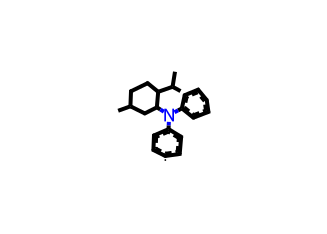 CC1CCC(C(C)C)C(N(c2cc[c]cc2)c2ccccc2)C1